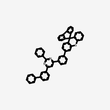 c1ccc(-c2cccc(-c3cc(-c4cccc(-c5ccc6c(c5)Sc5ccccc5C65c6ccccc6-c6ccccc65)c4)nc(-c4ccccc4)n3)c2)cc1